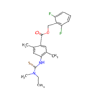 CCN(C)C(=S)Nc1cc(C)c(C(=O)OCc2c(F)cccc2F)cc1C